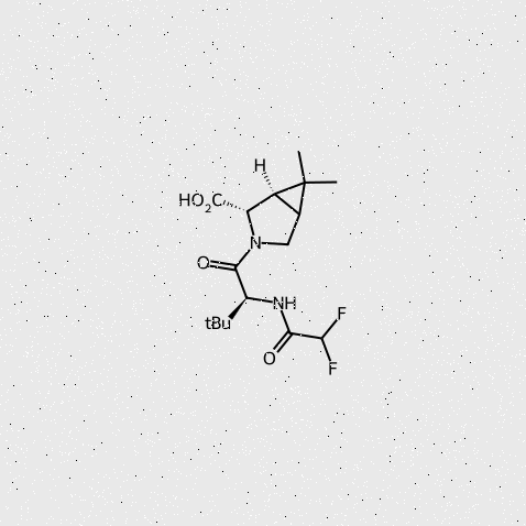 CC(C)(C)[C@H](NC(=O)C(F)F)C(=O)N1CC2[C@@H]([C@H]1C(=O)O)C2(C)C